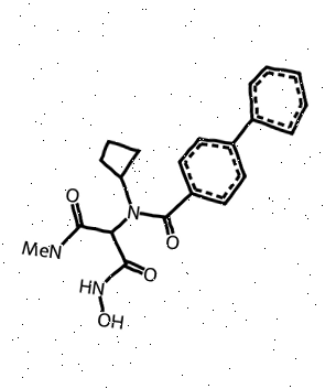 CNC(=O)C(C(=O)NO)N(C(=O)c1ccc(-c2ccccc2)cc1)C1CCC1